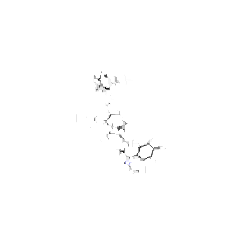 Cn1nnnc1SCC1=C(C(=O)O)N2C(=O)C(NC(=O)/C(=N/O)c3ccc(O)cc3)[C@H]2SC1